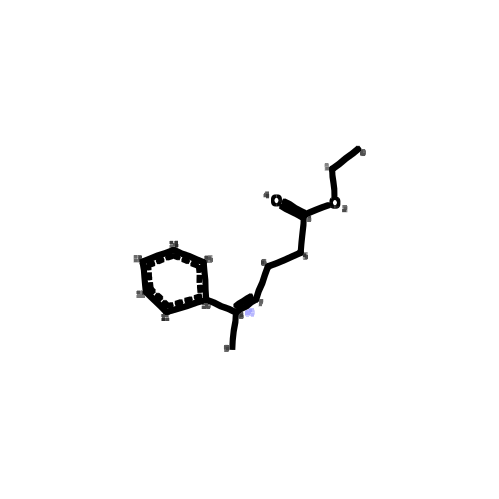 CCOC(=O)CC/C=C(/C)c1ccccc1